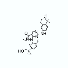 CCn1c(=O)c2cnc(Nc3ccc4c(c3)CCNC4(C)C)nc2n1-c1nc(C2(CO)CC2)ccc1F